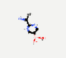 CCCC(=N)c1ncc(B(O)O)cn1